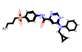 CC(=O)CCCS(=O)(=O)c1ccc(NC(=O)c2cc(N(CC3CC3)C3CCCCC3)ncn2)cc1